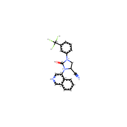 N#CC1CN(c2cccc(C(F)(F)F)c2)C(=O)N1c1cncc2ccccc12